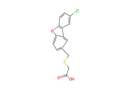 O=C(O)CSCc1ccc2oc3ccc(Cl)cc3c2c1